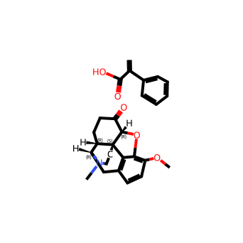 C=C(C(=O)O)c1ccccc1.COc1ccc2c3c1O[C@H]1C(=O)CC[C@H]4[C@@H](C2)N(C)CC[C@]314